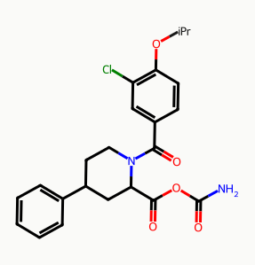 CC(C)Oc1ccc(C(=O)N2CCC(c3ccccc3)CC2C(=O)OC(N)=O)cc1Cl